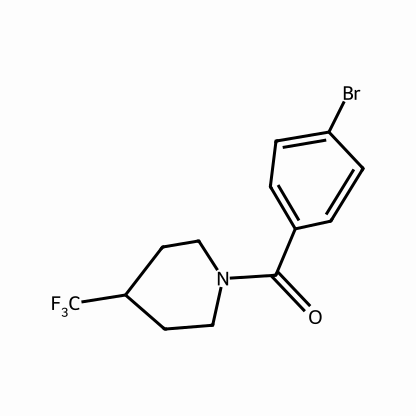 O=C(c1ccc(Br)cc1)N1CCC(C(F)(F)F)CC1